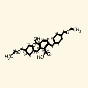 C=COCC1CCC(Cc2ccc(C(=O)O)c(CC3CCC(COC=C)CC3)c2C(=O)O)CC1